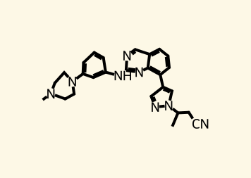 CC(CC#N)n1cc(-c2cccc3cnc(Nc4cccc(N5CCN(C)CC5)c4)nc23)cn1